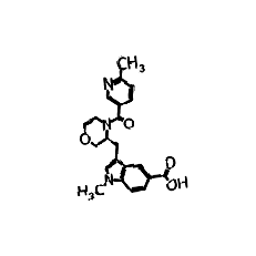 Cc1ccc(C(=O)N2CCOC[C@@H]2Cc2cn(C)c3ccc(C(=O)O)cc23)cn1